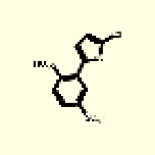 O=S(=O)(O)c1c[c]c(S(=O)(=O)O)c(-c2ccc(Cl)s2)c1